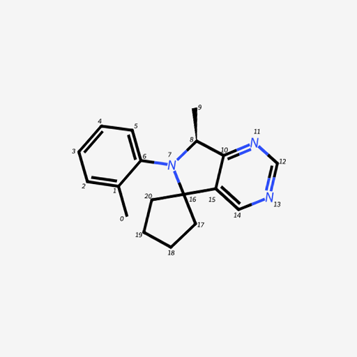 Cc1ccccc1N1[C@@H](C)c2ncncc2C12CCCC2